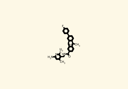 Cc1cc(N)nc(C)c1CNC(=O)c1ccc2c(c1)C1OC2(C)c2ccc(-c3ccc(F)cc3)cc21